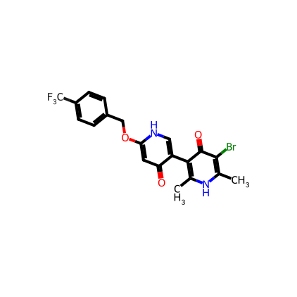 Cc1[nH]c(C)c(-c2c[nH]c(OCc3ccc(C(F)(F)F)cc3)cc2=O)c(=O)c1Br